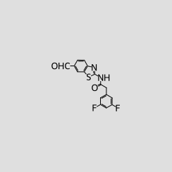 O=Cc1ccc2nc(NC(=O)Cc3cc(F)cc(F)c3)sc2c1